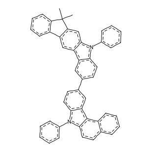 CC1(C)c2ccccc2-c2cc3c4cc(-c5ccc6c(c5)c5c7ccccc7ccc5n6-c5ccccc5)ccc4n(-c4ccccc4)c3cc21